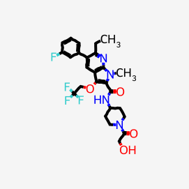 CCc1nc2c(cc1-c1cccc(F)c1)c(OCC(F)(F)F)c(C(=O)NC1CCN(C(=O)CO)CC1)n2C